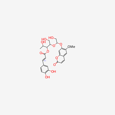 COc1cc2ccc(=O)oc2cc1OC(CO)OC(CO)C(OC(=O)/C=C/c1ccc(O)c(O)c1)C(C)O